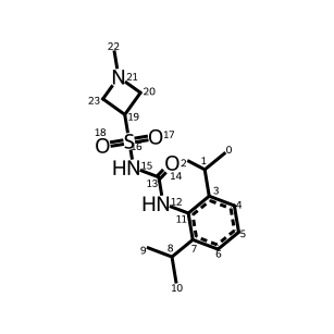 CC(C)c1cccc(C(C)C)c1NC(=O)NS(=O)(=O)C1CN(C)C1